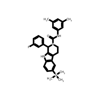 Cc1cc(C)cc(NC(=O)N2CCc3c([nH]c4ccc([Si](C)(C)C)cc34)C2c2cccc(F)c2)c1